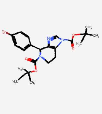 CC(C)(C)OC(=O)N1CCc2c(ncn2C(=O)OC(C)(C)C)C1c1ccc(Br)cc1